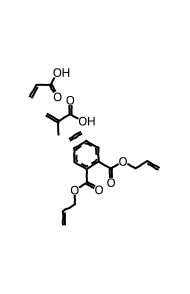 C=C.C=C(C)C(=O)O.C=CC(=O)O.C=CCOC(=O)c1ccccc1C(=O)OCC=C